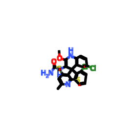 COC1=C(NC(N)=O)C(c2ccccc2Cl)(c2c(SC)cc(C)nc2SC)c2cc(Cl)ccc2N1